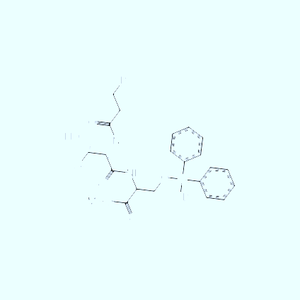 COC(=O)C(CO[Si](c1ccccc1)(c1ccccc1)C(C)(C)C)NC(=O)[C@@H](NC(=O)CCBr)[C@@H](C)O